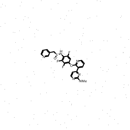 CNc1nccc(-c2cccnc2Oc2cc(F)c(N[S+]([O-])Cc3cccnc3)c(F)c2F)n1